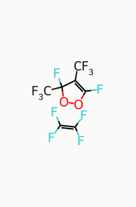 FC(F)=C(F)F.FC1=C(C(F)(F)F)C(F)(C(F)(F)F)OO1